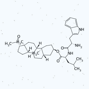 CC(=O)[C@H]1CC[C@H]2[C@@H]3CC[C@H]4C[C@H](OC(=O)[C@H](CC(C)C)NC(=O)[C@@H](N)Cc5c[nH]c6ccccc56)CC[C@]4(C)[C@H]3CC[C@]12C